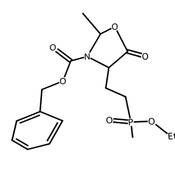 CCOP(C)(=O)CCC1C(=O)OC(C)N1C(=O)OCc1ccccc1